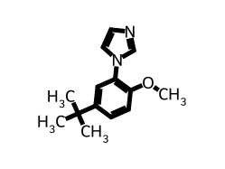 COc1ccc(C(C)(C)C)cc1-n1ccnc1